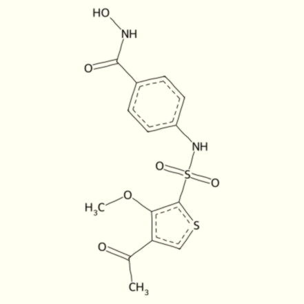 COc1c(C(C)=O)csc1S(=O)(=O)Nc1ccc(C(=O)NO)cc1